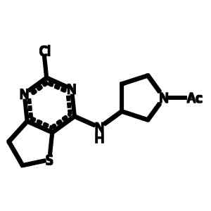 CC(=O)N1CCC(Nc2nc(Cl)nc3c2SCC3)C1